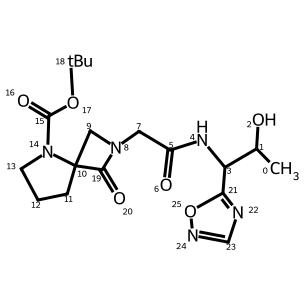 CC(O)C(NC(=O)CN1CC2(CCCN2C(=O)OC(C)(C)C)C1=O)c1ncno1